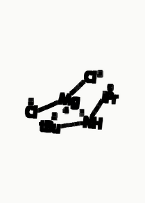 CC(C)NC(C)(C)C.[Cl][Mg][Cl]